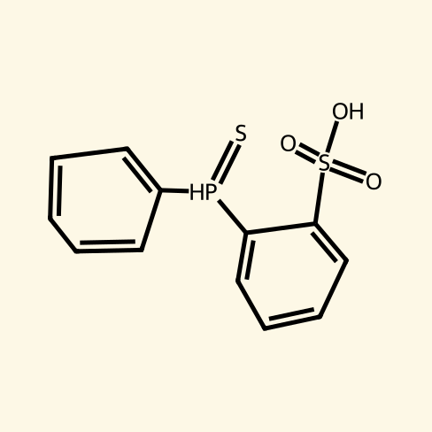 O=S(=O)(O)c1ccccc1[PH](=S)c1ccccc1